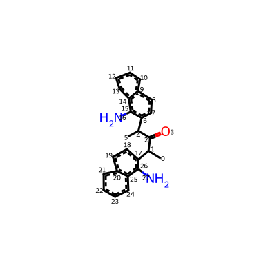 CC(C(=O)C(C)c1ccc2ccccc2c1N)c1ccc2ccccc2c1N